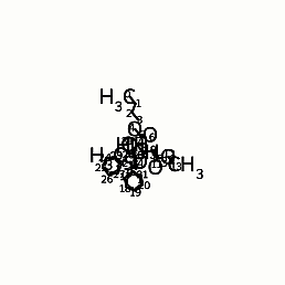 CCCCOC(=O)NC(CC(=O)OC)O[Si](c1ccccc1)(c1ccccc1)C(C)(C)C